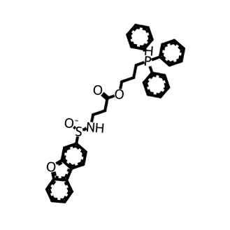 O=C(CCN[S+]([O-])c1ccc2c(c1)oc1ccccc12)OCCC[PH](c1ccccc1)(c1ccccc1)c1ccccc1